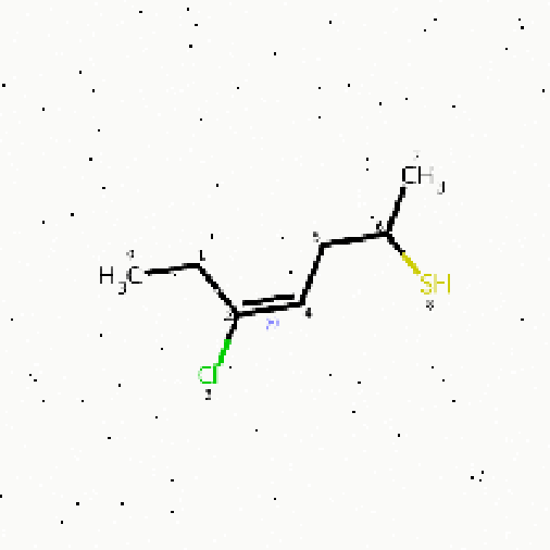 CC/C(Cl)=C\CC(C)S